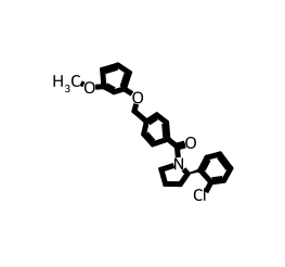 COc1cccc(OCc2ccc(C(=O)N3CCC[C@@H]3c3ccccc3Cl)cc2)c1